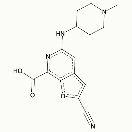 CN1CCC(Nc2cc3cc(C#N)oc3c(C(=O)O)n2)CC1